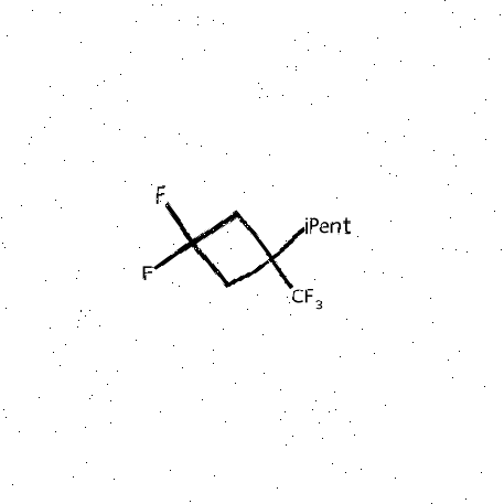 CCCC(C)C1(C(F)(F)F)CC(F)(F)C1